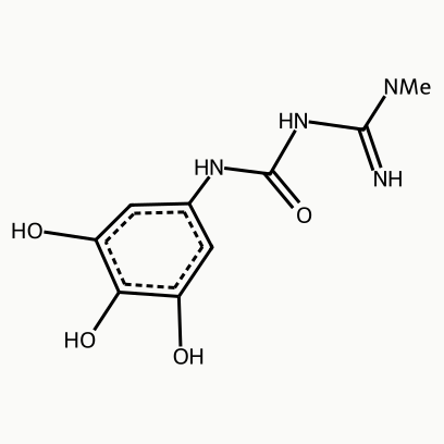 CNC(=N)NC(=O)Nc1cc(O)c(O)c(O)c1